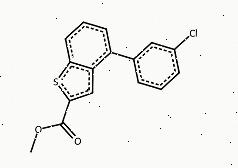 COC(=O)c1cc2c(-c3cccc(Cl)c3)cccc2s1